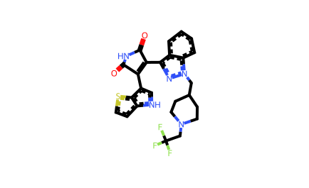 O=C1NC(=O)C(c2c[nH]c3ccsc23)=C1c1nn(CC2CCN(CC(F)(F)F)CC2)c2ccccc12